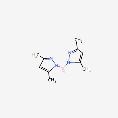 Cc1cc(C)n(Bn2nc(C)cc2C)n1